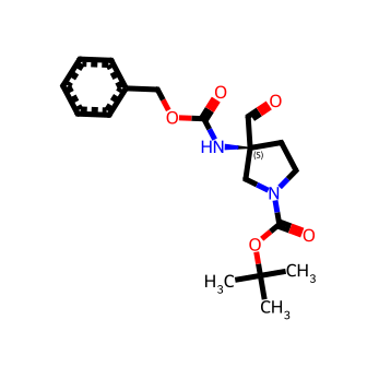 CC(C)(C)OC(=O)N1CC[C@](C=O)(NC(=O)OCc2ccccc2)C1